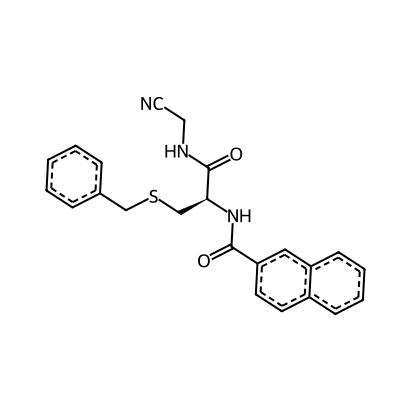 N#CCNC(=O)[C@H](CSCc1ccccc1)NC(=O)c1ccc2ccccc2c1